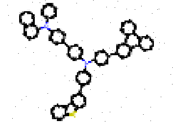 c1ccc(N(c2ccc(-c3ccc(N(c4ccc(-c5ccc6sc7ccccc7c6c5)cc4)c4ccc(-c5ccc6c7ccccc7c7ccccc7c6c5)cc4)cc3)cc2)c2cccc3ccccc23)cc1